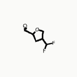 O=CC1CC(C(F)F)CO1